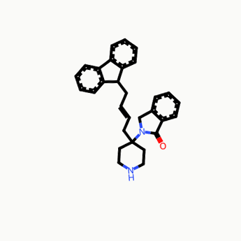 O=C1c2ccccc2CN1C1(CC=CCC2c3ccccc3-c3ccccc32)CCNCC1